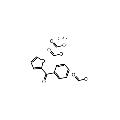 O=C(c1ccccc1)c1ccco1.O=C[O-].O=C[O-].O=C[O-].[Cr+3]